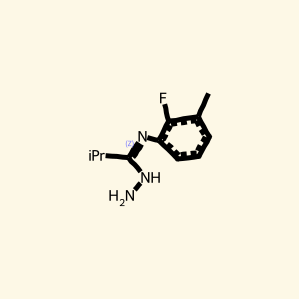 Cc1cccc(/N=C(\NN)C(C)C)c1F